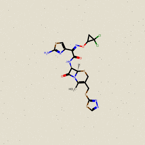 Nc1nc(/C(=N/OC2CC2(Cl)Cl)C(=O)N[C@@H]2C(=O)N3C(C(=O)O)=C(CSc4nncs4)CS[C@H]23)cs1